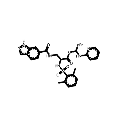 CCCC(Nc1ccccn1)OC(=O)C(CNC(=O)c1ccc2cn[nH]c2c1)NS(=O)(=O)c1c(C)cccc1C